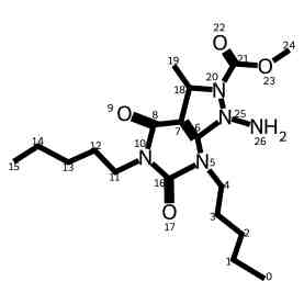 CCCCCn1c2c(c(=O)n(CCCCC)c1=O)C(C)N(C(=O)OC)N2N